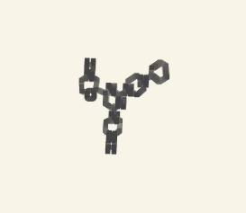 c1ccc(N2CCN(c3nc(C4CNCCO4)cc(N4CCNCC4)n3)CC2)cc1